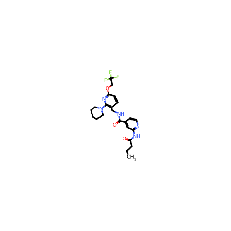 CCCC(=O)Nc1cc(C(=O)NCc2ccc(OCC(F)(F)F)nc2N2CCCCC2)ccn1